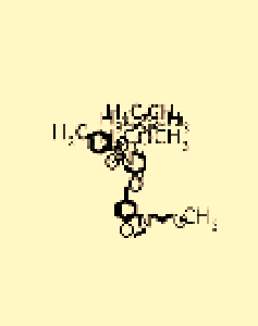 COCCCN1CCOc2ccc(CO[C@@H]3CC[C@@H](CO[Si](C(C)C)(C(C)C)C(C)C)N(S(=O)(=O)c4ccc(C)cc4)C3)cc21